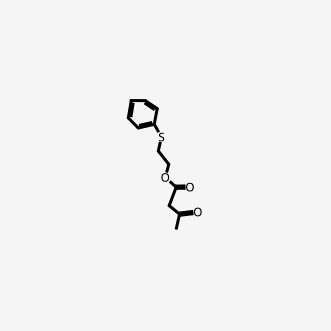 CC(=O)CC(=O)OCCSc1ccccc1